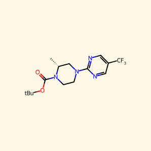 C[C@@H]1CN(c2ncc(C(F)(F)F)cn2)CCN1C(=O)OC(C)(C)C